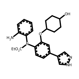 CCOC(=O)N(c1ccccc1N)c1ccc(-c2cn[nH]c2)cc1OC1CCC(O)CC1